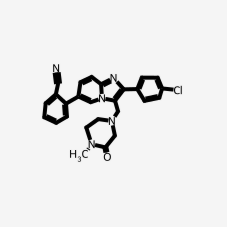 CN1CCN(Cc2c(-c3ccc(Cl)cc3)nc3ccc(-c4ccccc4C#N)cn23)CC1=O